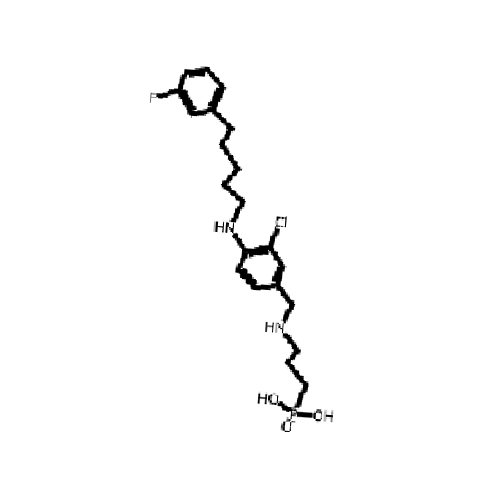 O=P(O)(O)CCCNCc1ccc(NCCCCCc2cccc(F)c2)c(Cl)c1